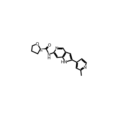 Cc1cc(-c2cc3cnc(NC(=O)[C@H]4CCCO4)cc3[nH]2)ccn1